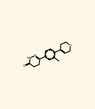 Cc1cc(C2=NNC(=O)CC2)ccc1C1=CCOCC1